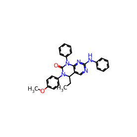 CCC1c2cnc(Nc3ccccc3)nc2N(c2ccccc2)C(=O)N1c1ccc(OC)cc1